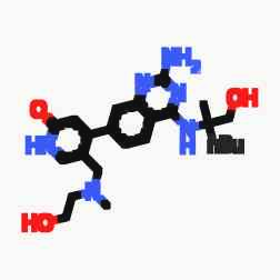 CCCCC(C)(CO)Nc1nc(N)nc2cc(-c3cc(=O)[nH]cc3CN(C)CCO)ccc12